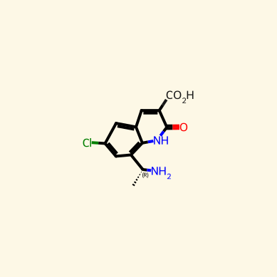 C[C@@H](N)c1cc(Cl)cc2cc(C(=O)O)c(=O)[nH]c12